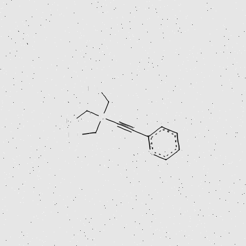 CC[Si](C#Cc1ccccn1)(CC)CC